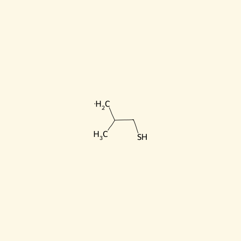 [CH2]C(C)CS